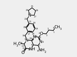 CCCCOC1=NC(N)C2NC(=O)C(C)N(Cc3cccc(CN4CCCC4)c3)C2=N1